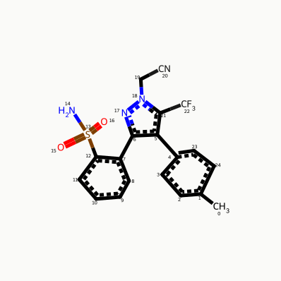 Cc1ccc(-c2c(-c3ccccc3S(N)(=O)=O)nn(CC#N)c2C(F)(F)F)cc1